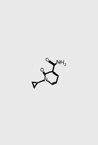 NC(=O)c1cccn(C2CC2)c1=O